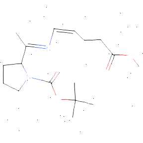 COC(=O)CC/C=C\N=C(/C)C1CCCN1C(=O)OC(C)(C)C